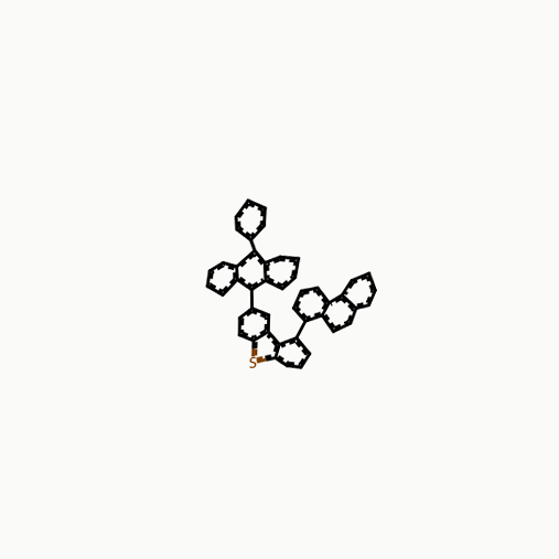 c1ccc(-c2c3ccccc3c(-c3ccc4sc5cccc(-c6cccc7c6ccc6ccccc67)c5c4c3)c3ccccc23)cc1